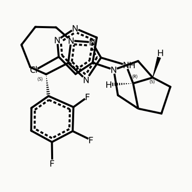 Fc1ccc([C@@H]2CCCCn3nc(N[C@@H]4C5CC[C@H]4CN(c4cnnc(Cl)c4)C5)nc32)c(F)c1F